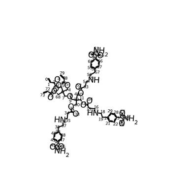 C=CC(=O)OCC(COCC(COC(=O)CCNCCc1ccc(S(N)(=O)=O)cc1)(COC(=O)CCNCCc1ccc(S(N)(=O)=O)cc1)COC(=O)CCNCCc1ccc(S(N)(=O)=O)cc1)(COC(=O)C=C)COC(=O)C=C